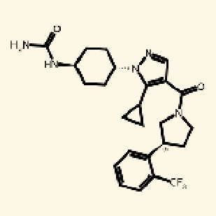 NC(=O)N[C@H]1CC[C@H](n2ncc(C(=O)N3CC[C@@H](c4ccccc4C(F)(F)F)C3)c2C2CC2)CC1